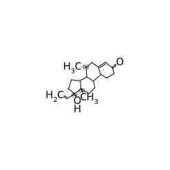 C=C[C@]1(O)CCC2C3C(CC[C@@]21C)C1CCC(=O)C=C1C[C@H]3C